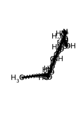 CCCCCCCCCCCCCCCCCC(=O)N[C@@H](CCC(=O)NCCOCCOCC(=O)NCCOCCOCC(=O)NCCCC[C@H](CC(=O)[C@@H](N)Cc1cnc[nH]1)C(=O)NCC(=O)O)C(=O)O